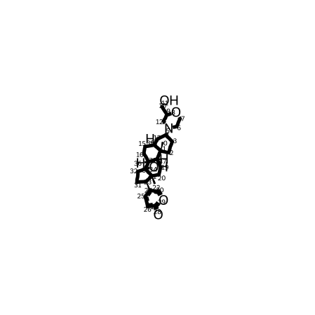 C[C@]12CC[C@H](N3CCOC(CO)C3)C[C@H]1CC[C@@H]1[C@@H]2CC[C@]2(C)[C@@H](c3ccc(=O)oc3)CC[C@]12O